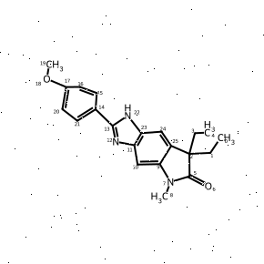 CCC1(CC)C(=O)N(C)c2cc3nc(-c4ccc(OC)cc4)[nH]c3cc21